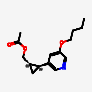 CCCCOc1cncc([C@H]2C[C@@H]2COC(C)=O)c1